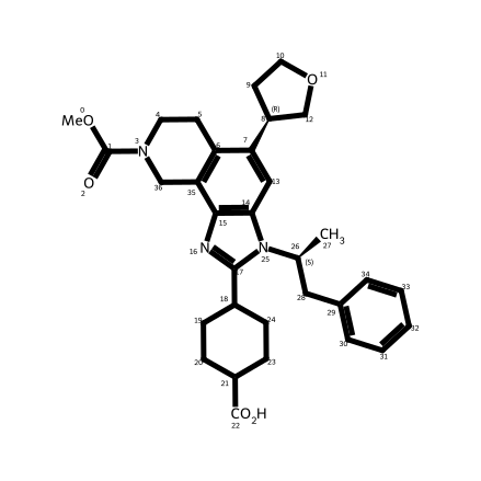 COC(=O)N1CCc2c([C@H]3CCOC3)cc3c(nc(C4CCC(C(=O)O)CC4)n3[C@@H](C)Cc3ccccc3)c2C1